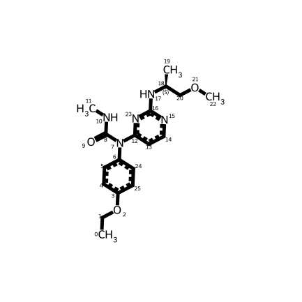 CCOc1ccc(N(C(=O)NC)c2ccnc(N[C@@H](C)COC)n2)cc1